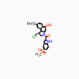 COc1ccc2c(O)cc3c(c2c1)[C@H](CCl)CN3C(=O)c1cc2cc(S(C)(=O)=O)ccc2[nH]1